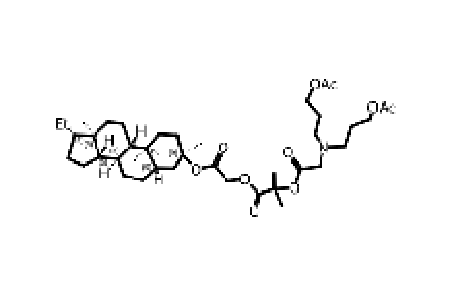 CC[C@H]1CC[C@H]2[C@@H]3CC[C@H]4C[C@](C)(OC(=O)COC(=O)C(C)(C)OC(=O)CN(CCCOC(C)=O)CCCOC(C)=O)CC[C@]4(C)[C@H]3CC[C@]12C